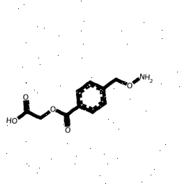 NOCc1ccc(C(=O)OCC(=O)O)cc1